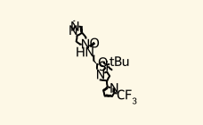 Cn1cc2c(n1)CCN(C(=O)NCC[C@H](CN1CCC(c3cccc(C(F)(F)F)n3)C1)O[Si](C)(C)C(C)(C)C)C2